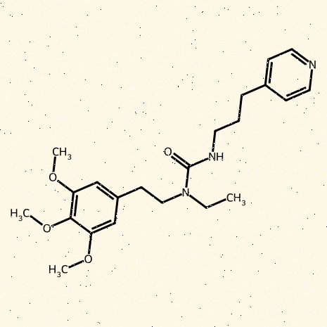 CCN(CCc1cc(OC)c(OC)c(OC)c1)C(=O)NCCCc1ccncc1